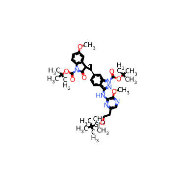 COc1ccc2c(c1)[C@]1(C[C@H]1c1ccc3c(Nc4nc(CCO[Si](C)(C)C(C)(C)C)cnc4OC)nn(C(=O)OC(C)(C)C)c3c1)C(=O)N2C(=O)OC(C)(C)C